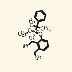 CCO[N+](CC)(Oc1cccc(CC(C)C)c1CC(C)C)C(C)(C)c1ccccc1.[Cl-]